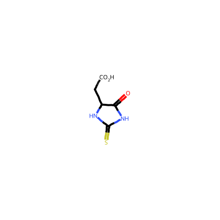 O=C(O)CC1NC(=S)NC1=O